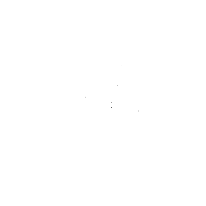 CC1OC[C@@H]2C(=O)N(Cc3ccccc3)C(=O)N12